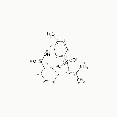 Cc1ccc(S(=O)(=O)OC(C)C)cc1.O=C(O)N1CCCCC1